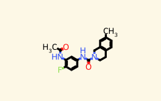 CC(=O)Nc1cc(NC(=O)N2CCc3ccc(C)cc3C2)ccc1F